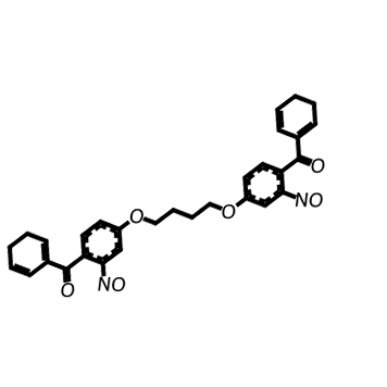 O=Nc1cc(OCCCCOc2ccc(C(=O)C3=CCCC=C3)c(N=O)c2)ccc1C(=O)C1=CCCC=C1